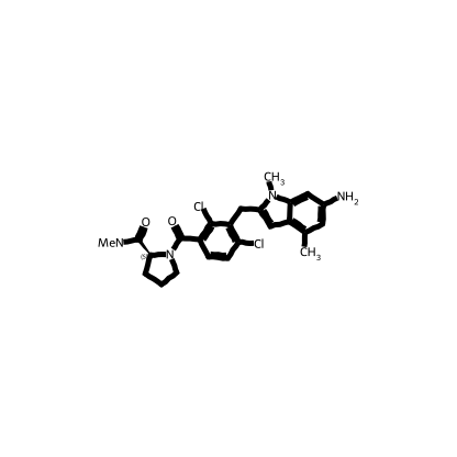 CNC(=O)[C@@H]1CCCN1C(=O)c1ccc(Cl)c(Cc2cc3c(C)cc(N)cc3n2C)c1Cl